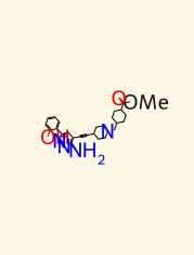 COC(=O)C1CCC(CN2CCC(C#Cc3cc(-c4ccccc4O)nnc3N)CC2)CC1